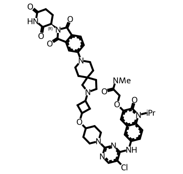 CNC(=O)COc1cc2cc(Nc3nc(N4CCC(OC5CC(N6CCC7(CCN(c8ccc9c(c8)C(=O)N([C@@H]8CCC(=O)NC8=O)C9=O)CC7)C6)C5)CC4)ncc3Cl)ccc2n(C(C)C)c1=O